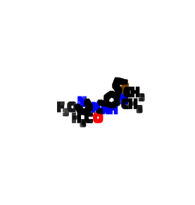 Cc1cc(C(F)(F)F)ncc1N1CC2(CCC(c3cccs3)(N(C)C)CC2)NC1=O